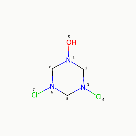 ON1CN(Cl)CN(Cl)C1